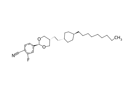 CCCCCCCCC[C@H]1CC[C@H](CC[C@H]2CO[C@H](c3ccc(C#N)c(F)c3)OC2)CC1